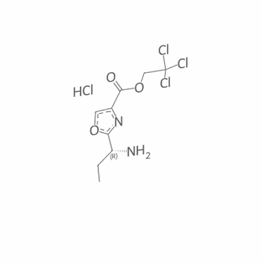 CC[C@@H](N)c1nc(C(=O)OCC(Cl)(Cl)Cl)co1.Cl